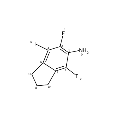 Nc1c(F)c(I)c2c(c1F)CCC2